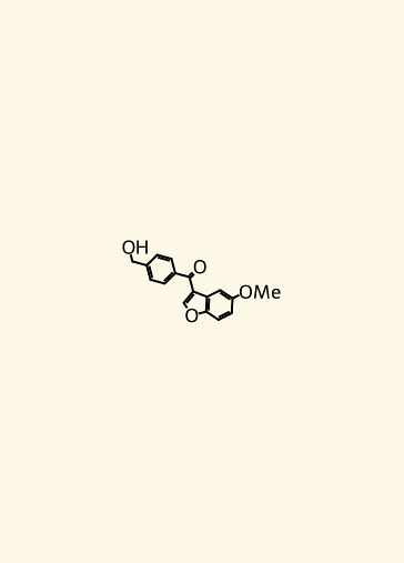 COc1ccc2occ(C(=O)c3ccc(CO)cc3)c2c1